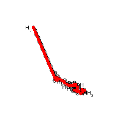 CCCOCCOCCOCCOCCOCCOCCOCCOCCOCCOCCOCCOCCC(=O)CCCN1C(=O)CC(SCCNC(=O)CCNC(=O)[C@H](O)C(C)(C)COP(=O)(O)OP(=O)(O)OC[C@H]2O[C@@H](n3cnc4c(N)ncnc43)[C@@H](O)C2OP(=O)(O)O)C1=O